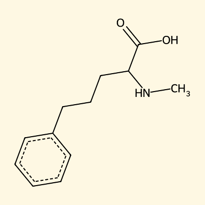 CNC(CCCc1ccccc1)C(=O)O